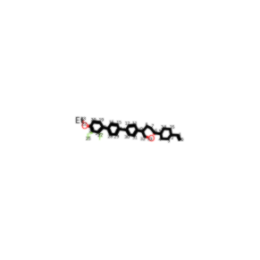 C=CC1CCC(C2CCC(c3ccc(-c4ccc(-c5ccc(OCC)c(F)c5F)cc4)cc3)CO2)CC1